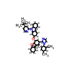 Cc1cc(C)c(-n2ccnc2-c2cc(Oc3ccc4c5ccccc5n(-c5cc(C(C)(C)C)ccn5)c4c3)c3oc4ccccc4c3c2)c(C)c1